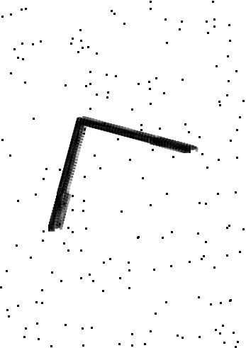 [Bi+3].[Bi+3].[Bi+3].[Bi+3].[Bi+3].[Bi+3].[Bi+3].[Bi+3].[Bi+3].[Bi+3].[Bi+3].[Bi+3].[Bi+3].[Bi+3].[Bi+3].[Bi+3].[Bi+3].[Bi+3].[Bi+3].[Bi+3].[Bi+3].[Bi+3].[Bi+3].[Bi+3].[Bi+3].[O-2].[O-2].[O-2].[O-2].[O-2].[O-2].[O-2].[O-2].[O-2].[O-2].[O-2].[O-2].[O-2].[O-2].[O-2].[O-2].[O-2].[O-2].[O-2].[O-2].[O-2].[O-2].[O-2].[O-2].[O-2].[O-2].[O-2].[O-2].[O-2].[O-2].[O-2].[O-2].[O-2].[O-2].[O-2].[O-2].[O-2].[O-2].[O-2].[O-2].[O-2].[O-2].[O-2].[O-2].[O-2].[O-2].[O-2].[O-2].[O-2].[O-2]